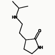 CC(C)NCCC1CCNC1=O